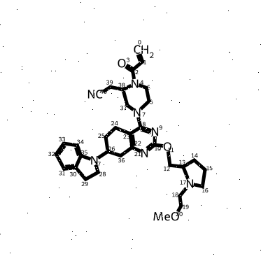 C=CC(=O)N1CCN(c2nc(OCC3CCCN3CCOC)nc3c2CCC(N2CCc4ccccc42)C3)CC1CC#N